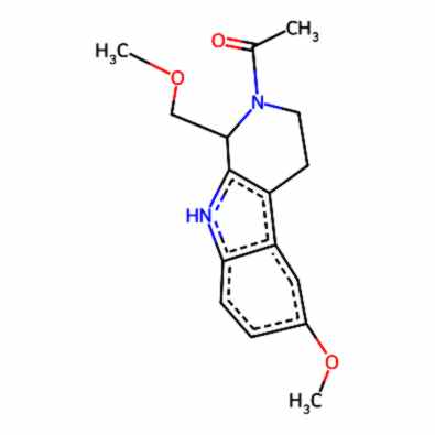 COCC1c2[nH]c3ccc(OC)cc3c2CCN1C(C)=O